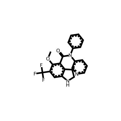 COc1c(C(F)(F)F)cc2c(c1C(=O)N(c1ccccc1)c1cccnc1)CCN2